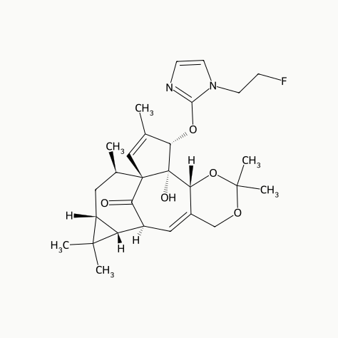 CC1=C[C@]23C(=O)[C@@H](C=C4COC(C)(C)O[C@H]4[C@]2(O)[C@H]1Oc1nccn1CCF)[C@H]1[C@@H](C[C@H]3C)C1(C)C